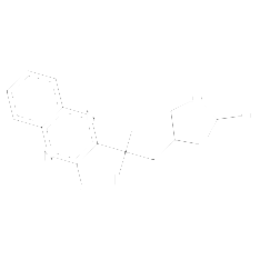 OC1OCC(CC(F)(F)c2nc3ccccc3nc2Cl)O1